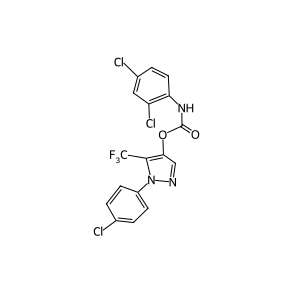 O=C(Nc1ccc(Cl)cc1Cl)Oc1cnn(-c2ccc(Cl)cc2)c1C(F)(F)F